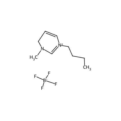 CCCC[N+]1=CN(C)CC=C1.F[B-](F)(F)F